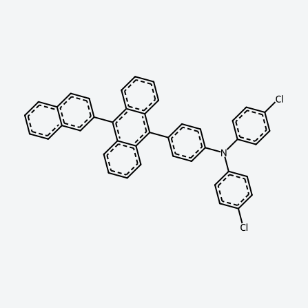 Clc1ccc(N(c2ccc(Cl)cc2)c2ccc(-c3c4ccccc4c(-c4ccc5ccccc5c4)c4ccccc34)cc2)cc1